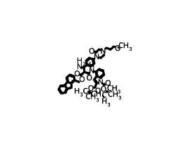 COCCCN1CCN(c2ccc(C(N)C(C(=O)Nc3cccc4c3cc(C(=O)OC(C)(C)C)n4C(=O)OC(C)(C)C)C(=O)OCc3cccc4c3Cc3ccccc3-4)cc2)C(=O)C1